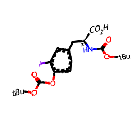 CC(C)(C)OC(=O)N[C@@H](Cc1ccc(OC(=O)OC(C)(C)C)c(I)c1)C(=O)O